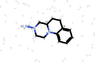 NN1CCN2c3ccccc3CCC2C1